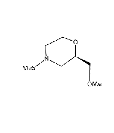 COC[C@H]1CN(SC)CCO1